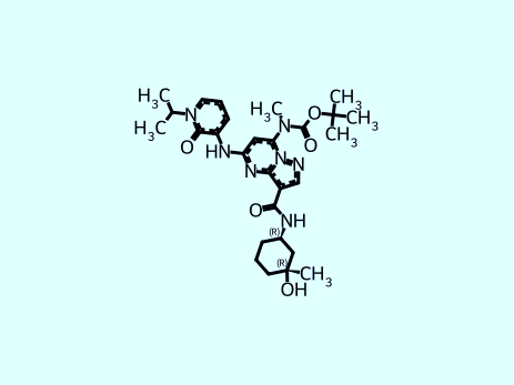 CC(C)n1cccc(Nc2cc(N(C)C(=O)OC(C)(C)C)n3ncc(C(=O)N[C@@H]4CCC[C@@](C)(O)C4)c3n2)c1=O